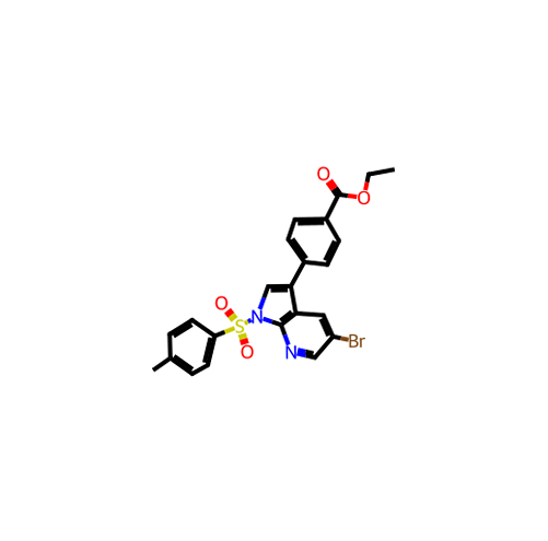 CCOC(=O)c1ccc(-c2cn(S(=O)(=O)c3ccc(C)cc3)c3ncc(Br)cc23)cc1